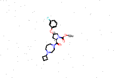 CC(C)(C)OC(=O)N1C[C@H](Oc2cccc(F)c2)C[C@@H]1C(=O)N1CCCN(C2CCC2)CC1